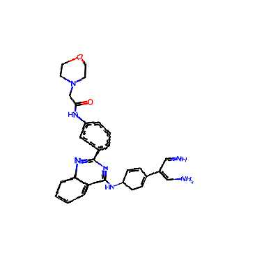 N=C/C(=C\N)C1=CCC(NC2=NC(c3cccc(NC(=O)CN4CCOCC4)c3)=NC3CC=CC=C23)C=C1